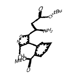 COC(=O)c1ccccc1-c1c(C)noc1C(N)CC(=O)OC(C)(C)C